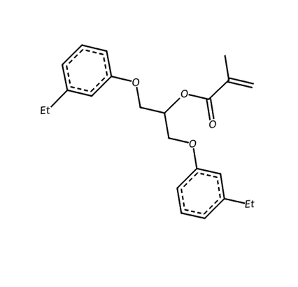 C=C(C)C(=O)OC(COc1cccc(CC)c1)COc1cccc(CC)c1